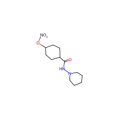 O=C(NN1CCCCC1)C1CCC(O[N+](=O)[O-])CC1